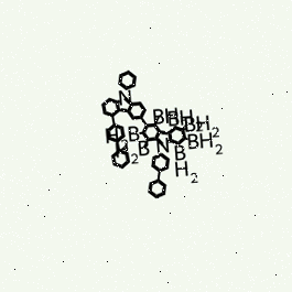 Bc1c(B)c(B)c2c(c1B)c1c(B)c(-c3ccc4c(c3)c3c(-c5ccc(-c6ccccc6)cc5)cccc3n4-c3ccccc3)c(B)c(B)c1n2-c1ccc(-c2ccccc2)cc1